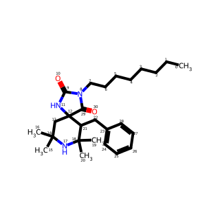 CCCCCCCCN1C(=O)NC2(CC(C)(C)NC(C)(C)C2Cc2ccccc2)C1=O